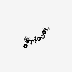 CS(=O)(=O)c1ccc(-c2noc(C3CCN(C(=O)NCCNC(=O)c4cn(-c5ccccc5)nc4C(F)(F)F)CC3)n2)cc1